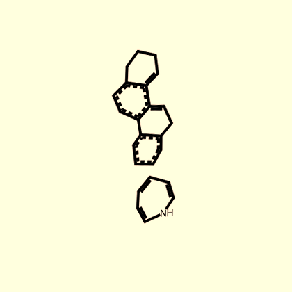 C1=CC=CNC=C1.C1=c2c(ccc3c2=CCc2ccccc2-3)CCC1